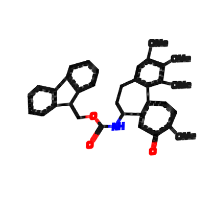 COc1cc2c(c(OC)c1OC)-c1ccc(OC)c(=O)cc1C(NC(=O)OCC1c3ccccc3-c3ccccc31)CC2